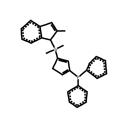 CC1=Cc2ccccc2C1[Si](C)(C)C1=CC(P(c2ccccc2)c2ccccc2)=CC1